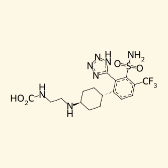 NS(=O)(=O)c1c(C(F)(F)F)ccc([C@H]2CC[C@H](NCCNC(=O)O)CC2)c1-c1nnn[nH]1